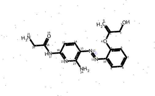 C=C(CO)Oc1ccccc1/N=N/c1ccc(NC(=O)CN)nc1N